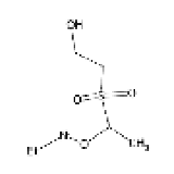 CC[N]OC(C)S(=O)(=O)CCO